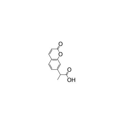 CC(C(=O)O)c1ccc2ccc(=O)oc2c1